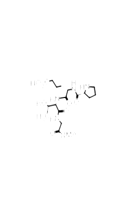 CNC(=O)CNC(=O)[C@@H](NC(=O)[C@H](CCCC(=O)O)NC(=O)[C@@H]1CCCN1)[C@@H](C)O